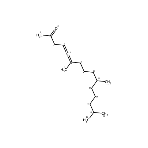 CC(=O)CC=C=C(C)CCCC(C)CCCC(C)C